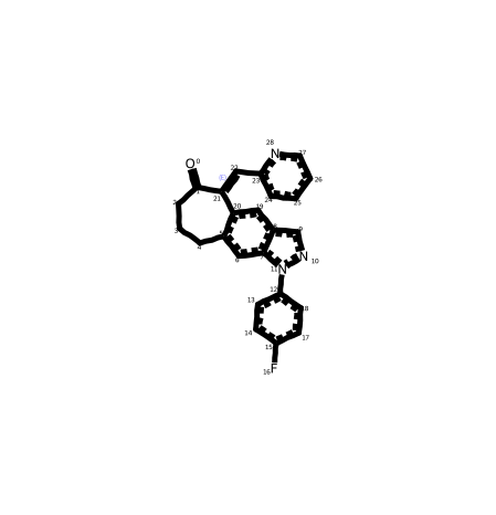 O=C1CCCc2cc3c(cnn3-c3ccc(F)cc3)cc2/C1=C\c1ccccn1